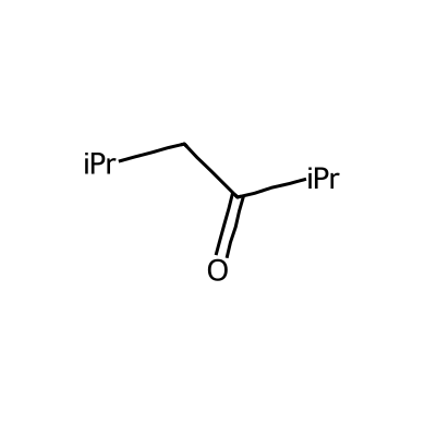 [CH2]C(C)CC(=O)C(C)C